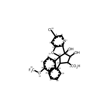 O=C(O)C1C(O)C2(O)c3ncc(Cl)cc3OC2(c2ccc(OC(F)(F)F)cc2)C1c1ccccc1